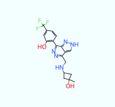 CC1(O)CC(NCc2nnc(-c3ccc(C(F)(F)F)cc3O)c3n[nH]cc23)C1